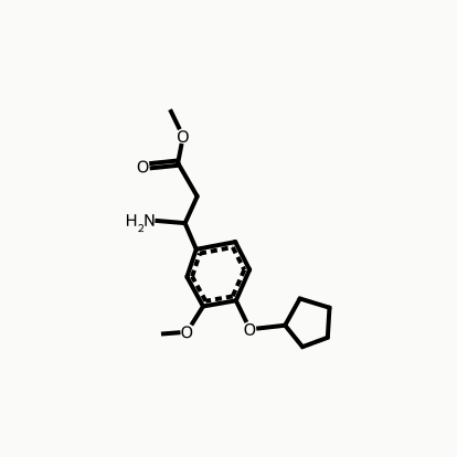 COC(=O)CC(N)c1ccc(OC2CCCC2)c(OC)c1